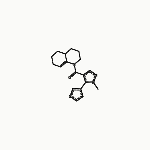 Cn1ncc(C(=O)N2CCCC3CCCC=C32)c1-c1ccsc1